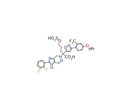 CCCOc1ccc(-c2cc(C(CCCOS(=O)(=O)O)(C(=O)O)N3Cc4nc(-c5cccc(F)c5F)[nH]c4C=N3)on2)c(C(F)(F)F)c1